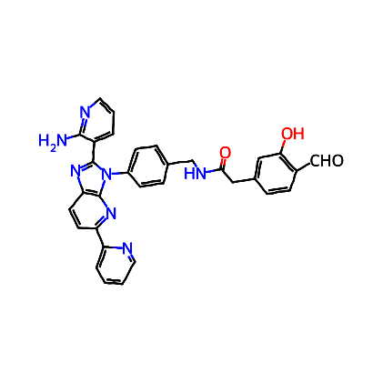 Nc1ncccc1-c1nc2ccc(-c3ccccn3)nc2n1-c1ccc(CNC(=O)Cc2ccc(C=O)c(O)c2)cc1